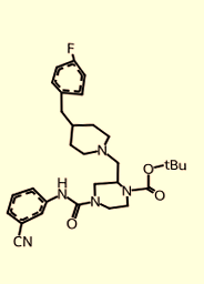 CC(C)(C)OC(=O)N1CCN(C(=O)Nc2cccc(C#N)c2)CC1CN1CCC(Cc2ccc(F)cc2)CC1